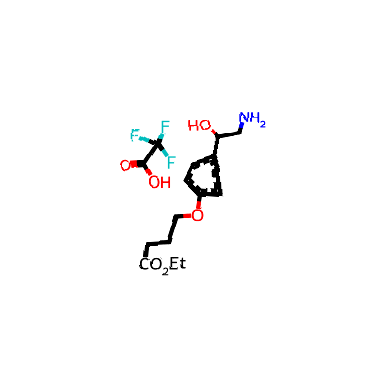 CCOC(=O)CCCOc1ccc(C(O)CN)cc1.O=C(O)C(F)(F)F